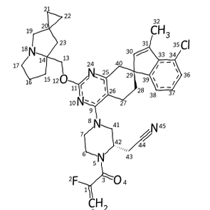 C=C(F)C(=O)N1CCN(c2nc(OCC34CCCN3CC3(CC3)C4)nc3c2CC[C@]2(C=C(C)c4c(Cl)cccc42)C3)C[C@@H]1CC#N